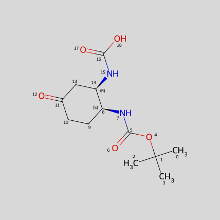 CC(C)(C)OC(=O)N[C@H]1CCC(=O)C[C@H]1NC(=O)O